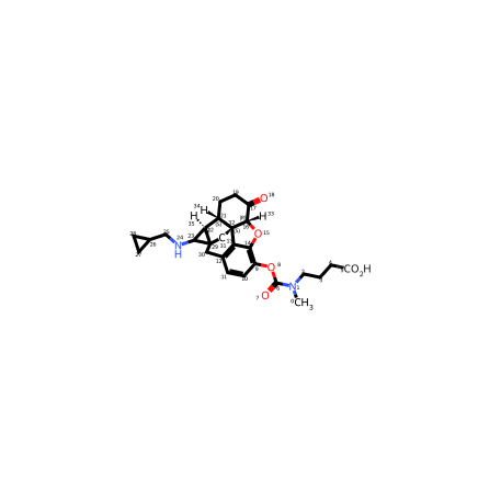 CN(CCCC(=O)O)C(=O)Oc1ccc2c3c1O[C@H]1C(=O)CC[C@H]4[C@@H]5C(NCC6CC6)C5(C2)C[C@]314